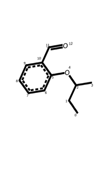 CCC(C)Oc1ccccc1[C]=O